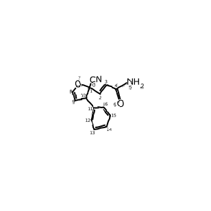 N#CC1(C=CC(N)=O)OC=CC1c1ccccc1